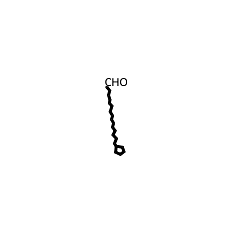 O=CCCCCCCCCCCCCCCCC1CCCC1